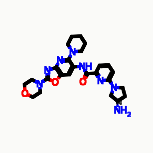 N[C@H]1CCN(c2cccc(C(=O)Nc3cc4oc(N5CCOCC5)nc4nc3N3CCCCC3)n2)C1